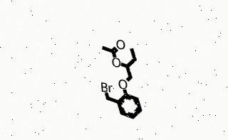 CCC(COc1ccccc1CBr)OC(C)=O